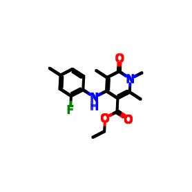 CCOC(=O)c1c(Nc2ccc(C)cc2F)c(C)c(=O)n(C)c1C